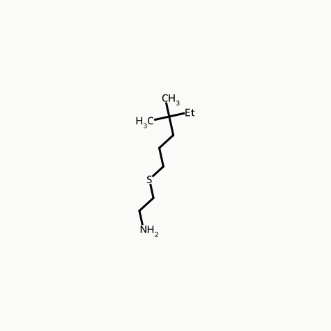 CCC(C)(C)CCCSCCN